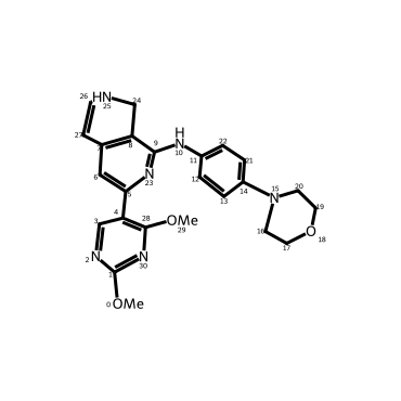 COc1ncc(-c2cc3c(c(Nc4ccc(N5CCOCC5)cc4)n2)CNC=C3)c(OC)n1